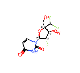 O=c1ccn([C@@H]2O[C@@](CO)(C(F)F)[C@@H](O)[C@@H]2F)c(=O)[nH]1